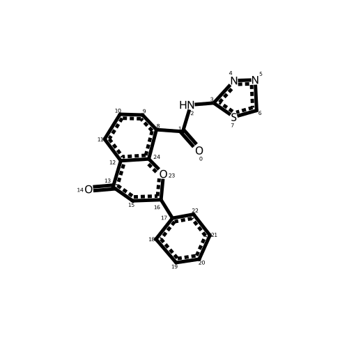 O=C(Nc1nncs1)c1cccc2c(=O)cc(-c3ccccc3)oc12